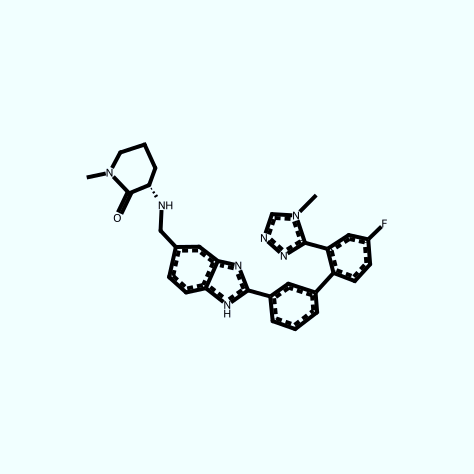 CN1CCC[C@H](NCc2ccc3[nH]c(-c4cccc(-c5ccc(F)cc5-c5nncn5C)c4)nc3c2)C1=O